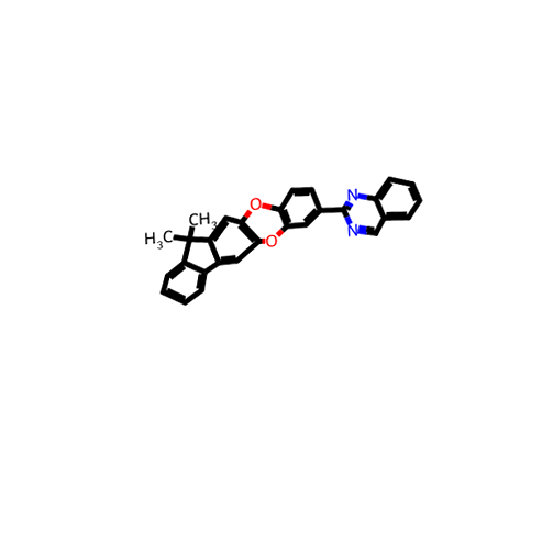 CC1(C)c2ccccc2-c2cc3c(cc21)Oc1ccc(-c2ncc4ccccc4n2)cc1O3